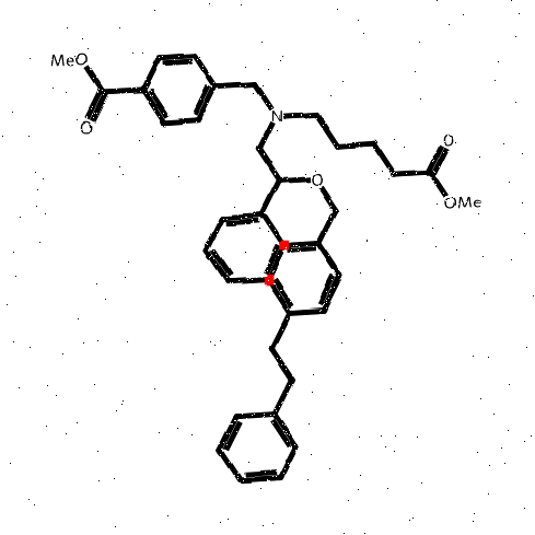 COC(=O)CCCCN(Cc1ccc(C(=O)OC)cc1)CC(OCc1ccc(CCc2ccccc2)cc1)c1ccccc1